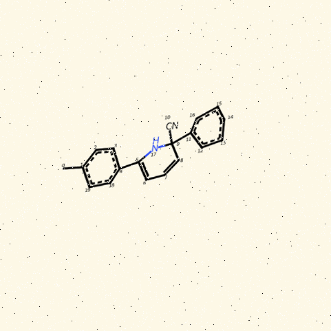 Cc1ccc(C2=CC=CC(C#N)(c3ccccc3)N2)cc1